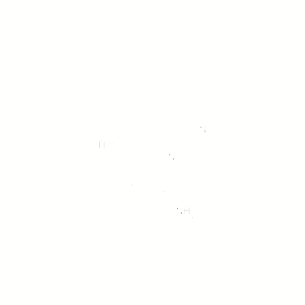 Br.NC(=O)n1cnc2ccccc21